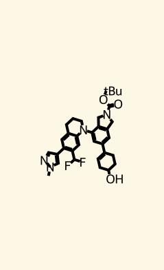 Cn1cc(-c2cc3c(cc2C(F)F)N(c2cc(C4=CCC(O)CC4)cc4c2CN(C(=O)OC(C)(C)C)C4)CCC3)cn1